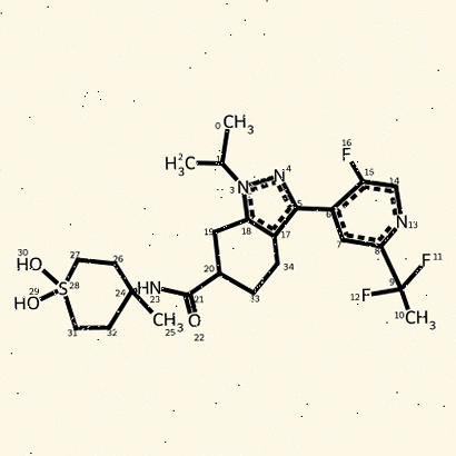 CC(C)n1nc(-c2cc(C(C)(F)F)ncc2F)c2c1CC(C(=O)NC1(C)CCS(O)(O)CC1)CC2